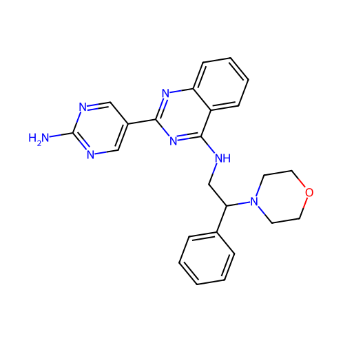 Nc1ncc(-c2nc(NCC(c3ccccc3)N3CCOCC3)c3ccccc3n2)cn1